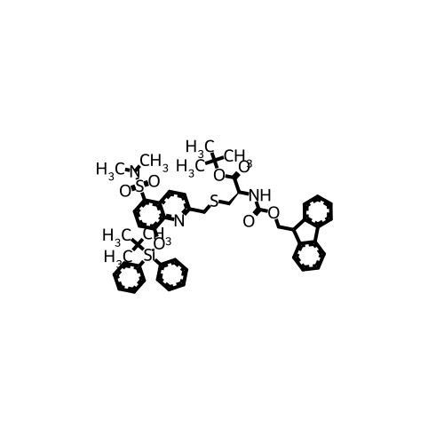 CN(C)S(=O)(=O)c1ccc(O[Si](c2ccccc2)(c2ccccc2)C(C)(C)C)c2nc(CSC[C@H](NC(=O)OCC3c4ccccc4-c4ccccc43)C(=O)OC(C)(C)C)ccc12